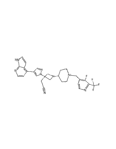 N#CCC1(n2cc(-c3ccnc4[nH]ccc34)cn2)CN(C2CCN(Cc3ccnc(C(F)(F)F)c3F)CC2)C1